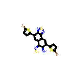 N=C1C(c2ccc(Br)s2)=Cc2c(cc(-c3ccc(Br)s3)c3nsnc23)/C1=N/S